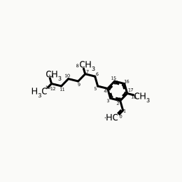 [CH]=Cc1cc(CCC(C)CCCC(C)C)[c]cc1C